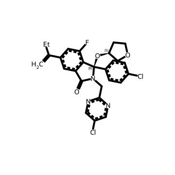 C=C(CC)c1cc(F)c2c(c1)C(=O)N(Cc1ncc(Cl)cn1)[C@@]2(O[C@H]1CCOC1)c1ccc(Cl)cc1